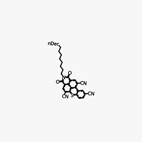 CCCCCCCCCCCCCCCCCCn1c(=O)c2cc(C#N)c3sc4ccc(C#N)cc4c4c(C#N)cc(c1=O)c2c34